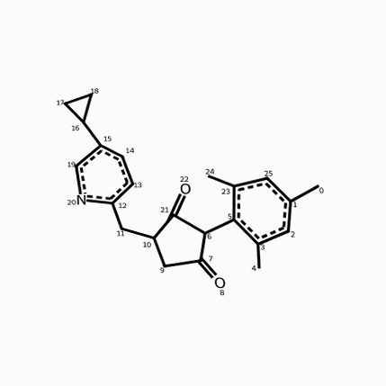 Cc1cc(C)c(C2C(=O)CC(Cc3ccc(C4CC4)cn3)C2=O)c(C)c1